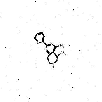 Nc1nc(-c2ccccn2)nc2c1C(C(F)(F)F)CNCC2